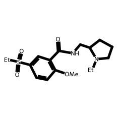 CCN1CCCC1CNC(=O)c1cc(S(=O)(=O)CC)ccc1OC